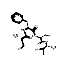 C[C@@H](O)[C@H](NC(=O)[C@H](CS)NC(=O)[C@H](Cc1ccccc1)NC(=O)[C@@H](N)CO)C(=O)O